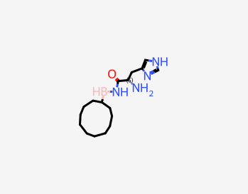 N[C@@H](Cc1c[nH]cn1)C(=O)NBC1CCCCCCCCCC1